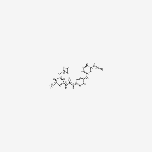 [N-]=[N+]=Nc1cc(Oc2ccc(NC(=O)Nc3cc(CN4CCC4)cc(C(F)(F)F)c3)cc2)ncn1